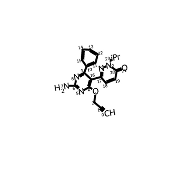 C#CCOc1nc(N)nc(-c2ccccc2)c1-c1ccc(=O)n(C(C)C)n1